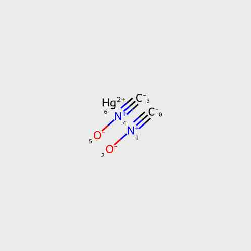 [C-]#[N+][O-].[C-]#[N+][O-].[Hg+2]